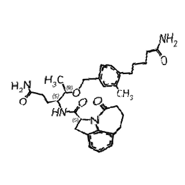 Cc1cc(CO[C@H](C)[C@H](CCC(N)=O)NC(=O)[C@@H]2Cc3cccc4c3N2C(=O)CCC4)ccc1CCCCC(N)=O